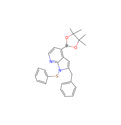 CC1(C)OB(c2ccnc3c2cc(Cc2ccccc2)n3Sc2ccccc2)OC1(C)C